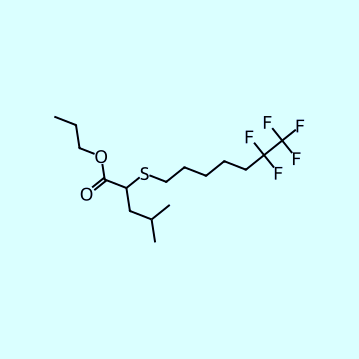 CCCOC(=O)C(CC(C)C)SCCCCCC(F)(F)C(F)(F)F